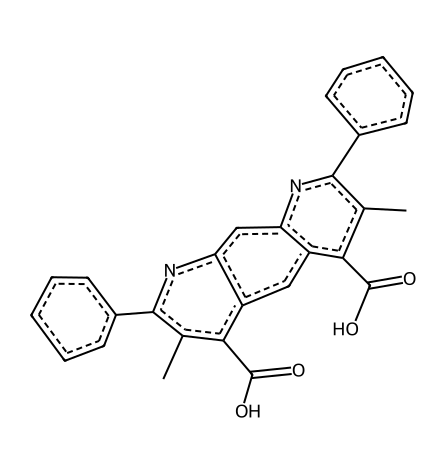 Cc1c(-c2ccccc2)nc2cc3nc(-c4ccccc4)c(C)c(C(=O)O)c3cc2c1C(=O)O